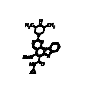 CNc1c(C(=O)NC2CC2)c2nc3ccccc3n2c2nc(N3CC(C)NC(C)C3)ncc12